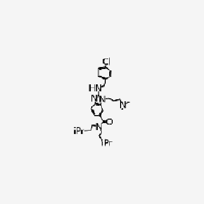 CC(C)CCN(CCC(C)C)C(=O)c1ccc2nc(NCc3ccc(Cl)cc3)n(CCCN(C)C)c2c1